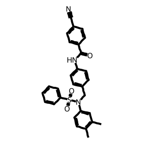 Cc1ccc(N(Cc2ccc(NC(=O)c3ccc(C#N)cc3)cc2)S(=O)(=O)c2ccccc2)cc1C